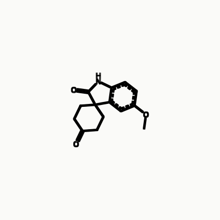 COc1ccc2c(c1)C1(CCC(=O)CC1)C(=O)N2